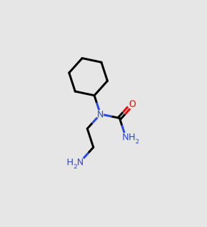 NCCN(C(N)=O)C1CCCCC1